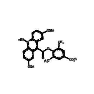 CCCC[n+]1c2ccc(OC)cc2c(C(=O)Oc2c(C)cc(C(=O)O)cc2C)c2cc(OC)ccc21